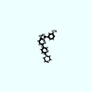 N#Cc1cccc(-c2nnc3ccc(-c4ccc(N5CCOCC5)nc4)nn23)c1